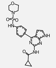 O=C(Nc1nc(-c2ccc(NS(=O)(=O)N3CCOCC3)cc2)c2cc[nH]c2n1)C1CC1